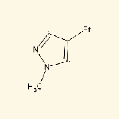 CCc1[c]nn(C)[c]1